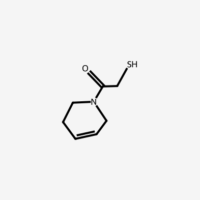 O=C(CS)N1CC=CCC1